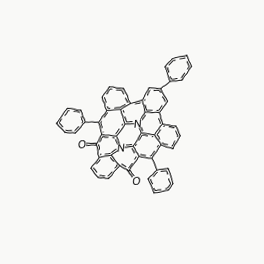 O=c1c2cccc3c(=O)c4c(-c5ccccc5)c5cccc6c7cc(-c8ccccc8)cc8c9cccc%10c(-c%11ccccc%11)c1c1c(c%109)n(c87)c(c56)c4n1c23